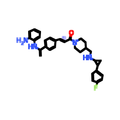 C=C(Nc1ccccc1N)c1ccc(/C=C/C(=O)N2CCC(CNC3CC3c3ccc(F)cc3)CC2)cc1